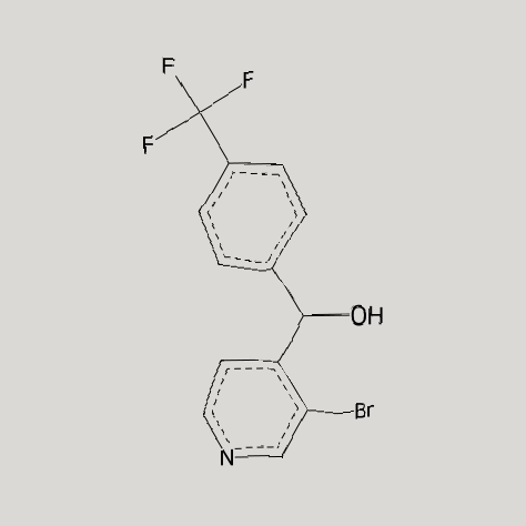 OC(c1ccc(C(F)(F)F)cc1)c1ccncc1Br